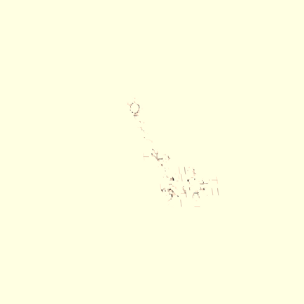 CC(=O)N[C@@H](CO[C@H]1OC(CO)[C@H](O)C(O)[C@@H]1O)[C@H](O)[C@H](O)CCCC(=O)NCCCCCCCCc1ccccc1